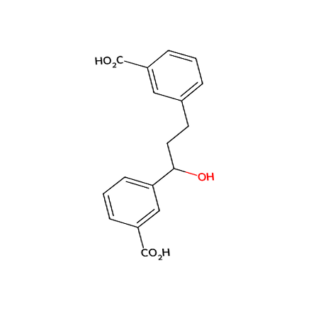 O=C(O)c1cccc(CCC(O)c2cccc(C(=O)O)c2)c1